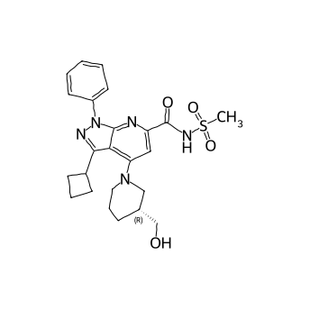 CS(=O)(=O)NC(=O)c1cc(N2CCC[C@@H](CO)C2)c2c(C3CCC3)nn(-c3ccccc3)c2n1